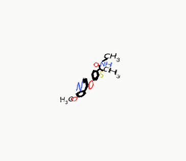 CCCNC(=O)C1c2ccc(Oc3ccnc4cc(OC)ccc34)cc2SC1C